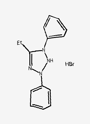 Br.CCC1=NN(c2ccccc2)NN1c1ccccc1